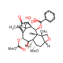 COC(=O)O[C@H]1C(=O)[C@]2(C)[C@@H](OC)C[C@H]3OC[C@@]3(OC(C)=O)[C@H]2[C@H](OC(=O)c2ccccc2)[C@]2(O)[C@@H](O)C(=O)C(C)=C1C2(C)C